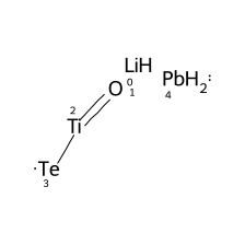 [LiH].[O]=[Ti][Te].[PbH2]